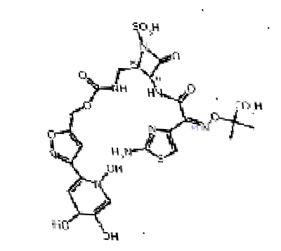 CC(C)(O/N=C(\C(=O)N[C@@H]1C(=O)N(S(=O)(=O)O)[C@@H]1CNC(=O)OCc1cc(C2=CC(O)C(O)=CN2O)no1)c1csc(N)n1)C(=O)O